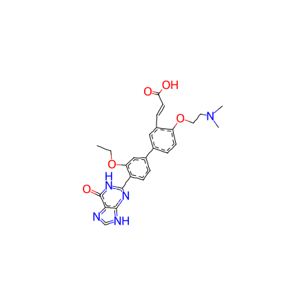 CCOc1cc(-c2ccc(OCCN(C)C)c(/C=C/C(=O)O)c2)ccc1-c1nc2[nH]cnc2c(=O)[nH]1